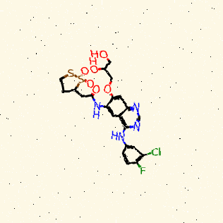 O=C(CC1CCSS1(=O)=O)Nc1cc2c(Nc3ccc(F)c(Cl)c3)ncnc2cc1OCC(O)CO